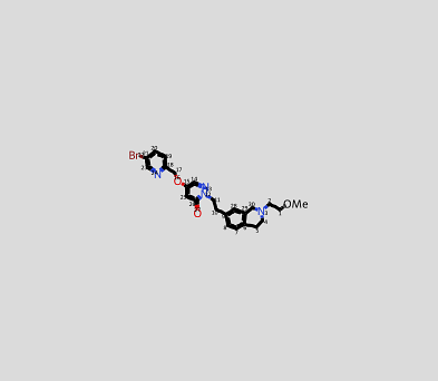 COCCN1CCc2ccc(CCn3ncc(OCc4ccc(Br)cn4)cc3=O)cc2C1